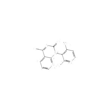 CSc1ccnc(C(C)C)c1-n1c(=O)nc(Cl)c2cccnc21